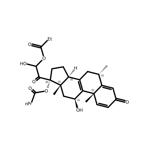 CCCC(=O)O[C@]1(C(=O)C(O)OC(=O)CC)CC[C@H]2C3=C([C@@H](O)C[C@@]21C)[C@@]1(C)C=CC(=O)C=C1[C@@H](C)C3